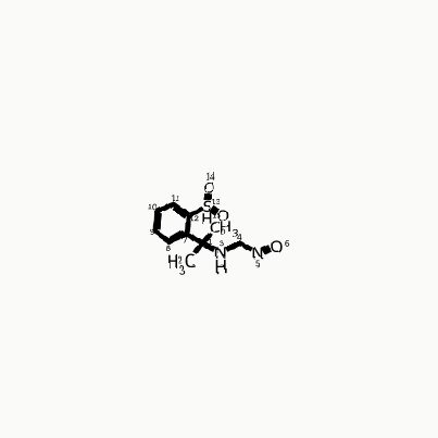 CC(C)(NCN=O)c1ccccc1[SH](=O)=O